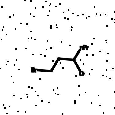 CCCC([O])CCBr